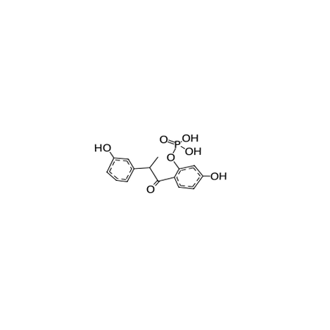 CC(C(=O)c1ccc(O)cc1OP(=O)(O)O)c1cccc(O)c1